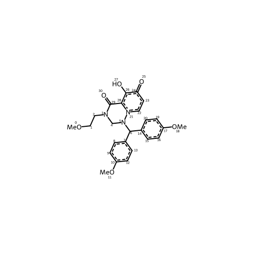 COCCN1CN(C(c2ccc(OC)cc2)c2ccc(OC)cc2)n2ccc(=O)c(O)c2C1=O